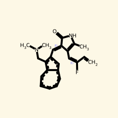 C=C/C(F)=C\C1=C(C)NC(=O)/C1=C/c1cc2cccccc-2c1CN(C)C